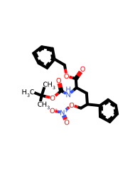 CC(C)(C)OC(=O)NC(CC(CO[N+](=O)[O-])c1ccccc1)C(=O)OCc1ccccc1